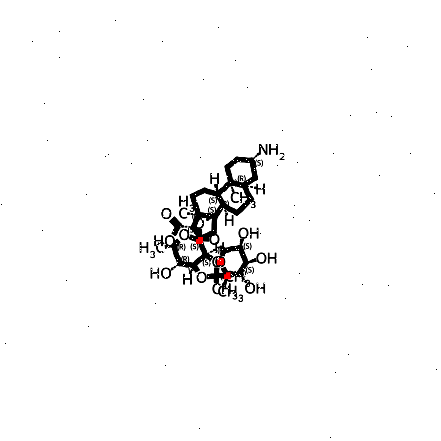 C[C@H]1O[C@H](O[C@]2(O[C@]34CC[C@H](C(=O)O)[C@@]3(C)CC[C@H]3[C@H]4CC[C@@H]4C[C@@H](N)CC[C@@]43C)O[C@H](C)[C@@H](O)[C@@H]3OC(C)(C)O[C@@H]32)[C@@H](O)[C@@H](O)[C@@H]1O